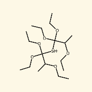 CCOC(C)C(OCC)(OCC)[SiH]C(OCC)(OCC)C(C)OCC